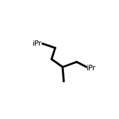 CC(C)CCC(C)CC(C)C